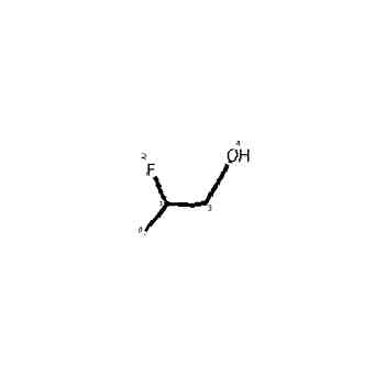 [CH2]C(F)CO